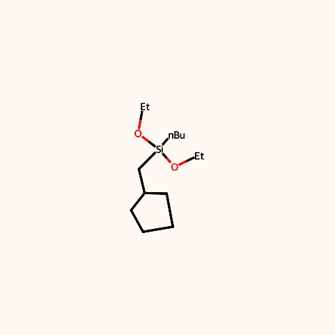 CCCC[Si](CC1CCCC1)(OCC)OCC